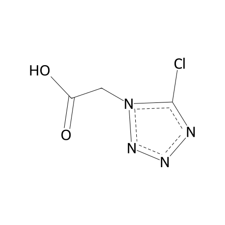 O=C(O)Cn1nnnc1Cl